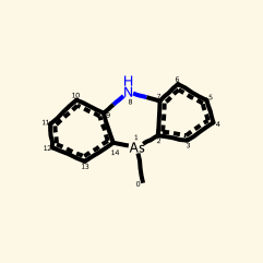 C[As]1c2ccccc2Nc2ccccc21